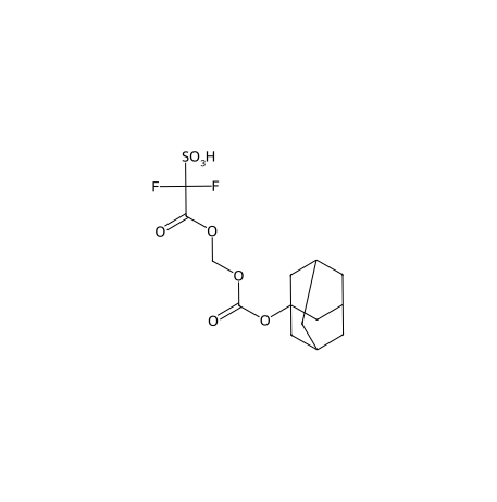 O=C(OCOC(=O)C(F)(F)S(=O)(=O)O)OC12CC3CC(CC(C3)C1)C2